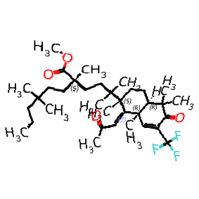 CCCC(C)(C)CC[C@@](C)(CCC(C)(C)[C@]1(C)CC[C@H]2C(C)(C)C(=O)C(C(F)(F)F)=C[C@]2(C)/C1=C/C(C)=O)C(=O)OC